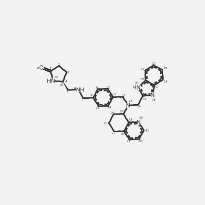 O=C1CC[C@@H](CNCc2ccc(CN(Cc3nc4ccccc4[nH]3)C3CCCc4cccnc43)cc2)N1